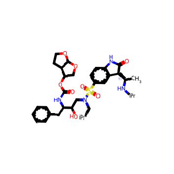 C/C(NC(C)C)=C1\C(=O)Nc2ccc(S(=O)(=O)N(CC(C)C)CC(O)C(Cc3ccccc3)NC(=O)OC3COC4OCCC34)cc21